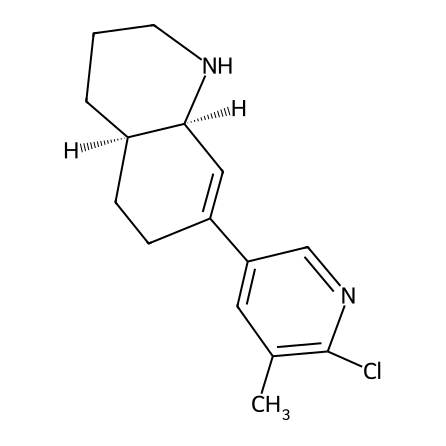 Cc1cc(C2=C[C@@H]3NCCC[C@@H]3CC2)cnc1Cl